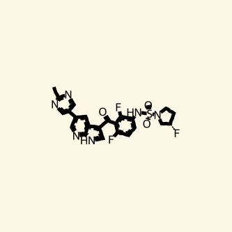 Cc1ncc(-c2cnc3[nH]cc(C(=O)c4c(F)ccc(NS(=O)(=O)N5CC[C@H](F)C5)c4F)c3c2)cn1